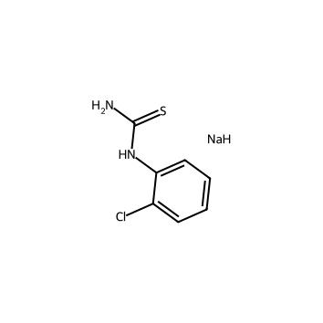 NC(=S)Nc1ccccc1Cl.[NaH]